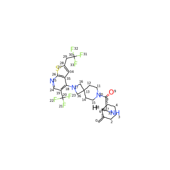 C=C1CC2CC[C@H]1C(C(=O)N1CCC3(CC1)CN(c1c(C(F)(F)F)cnc4sc(CC(F)(F)F)cc14)C3)N2